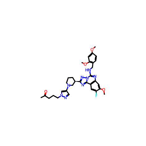 COc1ccc(CNc2nc3cc(OC)c(F)cc3c3nc([C@@H]4CCCN(c5cnn(CCCC(C)=O)c5)C4)nn23)c(OC)c1